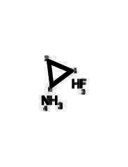 C1CC1.F.N